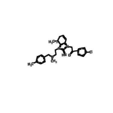 Cc1ccc(CN(C)CCn2c3c(n(CC(=O)c4ccc(Cl)cc4)c2=N)C=CC[C@@H]3C)cc1